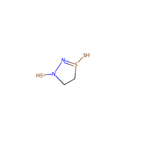 SN1CCS(S)=N1